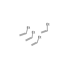 C=CCC.C=CCC.C=CCC.C=CCC